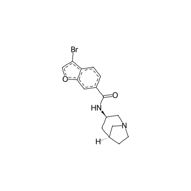 O=C(N[C@@H]1C[C@@H]2CCN(C2)C1)c1ccc2c(Br)coc2c1